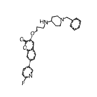 O=c1oc2cc(-c3ccc(F)nc3)ccc2cc1OCCCNC1CCN(Cc2ccccc2)CC1